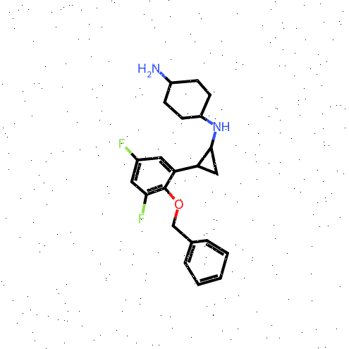 NC1CCC(NC2CC2c2cc(F)cc(F)c2OCc2ccccc2)CC1